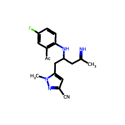 CC(=N)CC(Cc1cc(C#N)nn1C)Nc1ccc(F)cc1C(C)=O